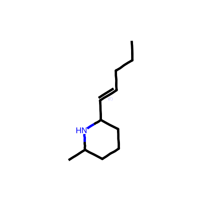 CCC/C=C/C1CCCC(C)N1